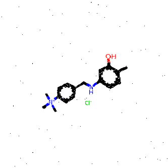 Cc1ccc(NCc2ccc([N+](C)(C)C)cc2)cc1O.[Cl-]